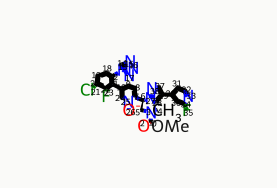 COC(=O)N(C)C[C@@H](c1ccc(-c2c(-n3cnnn3)ccc(Cl)c2F)c[n+]1[O-])n1cc(-c2ccnc(F)c2)cn1